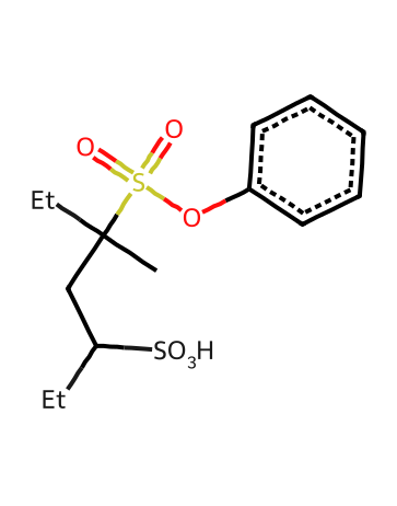 CCC(CC(C)(CC)S(=O)(=O)Oc1ccccc1)S(=O)(=O)O